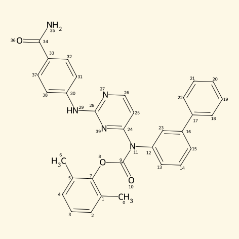 Cc1cccc(C)c1OC(=O)N(c1cccc(-c2ccccc2)c1)c1ccnc(Nc2ccc(C(N)=O)cc2)n1